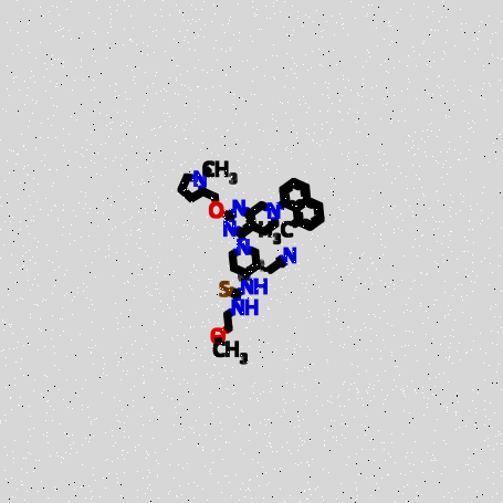 COCCNC(=S)N[C@H]1CCN(c2nc(OCC3CCCN3C)nc3c2CCN(c2cccc4cccc(C)c24)C3)C[C@@H]1CC#N